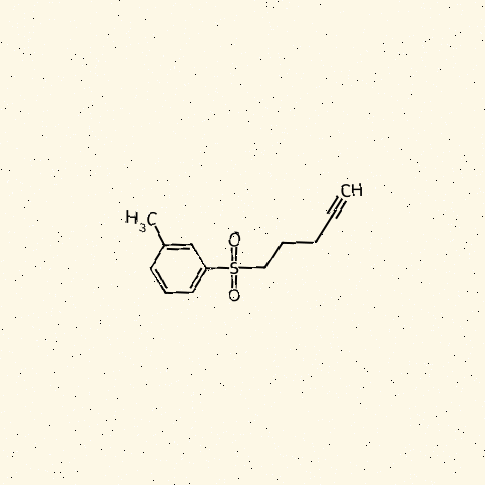 C#CCCCS(=O)(=O)c1cccc(C)c1